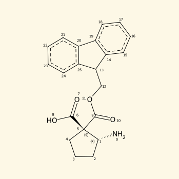 N[C@@H]1CCC[C@]1(C(=O)O)C(=O)OCC1c2ccccc2-c2ccccc21